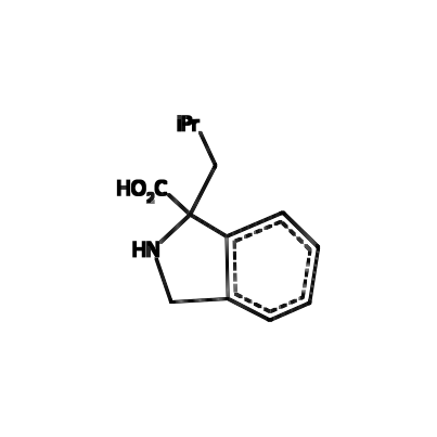 CC(C)CC1(C(=O)O)NCc2ccccc21